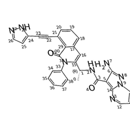 C[C@@H](NC(=O)c1c(N)nn2cccnc12)c1cc2cccc(C#Cc3ccn[nH]3)c2c(=O)n1-c1ccccc1